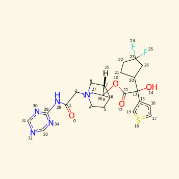 O=C(C[N+]12CCC(CC1)[C@@H](OC(=O)C(O)(c1ccsc1)C1CCC(F)(F)C1)C2)Nc1ncncn1